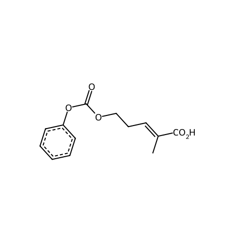 CC(=CCCOC(=O)Oc1ccccc1)C(=O)O